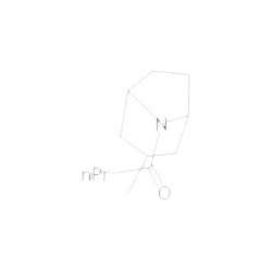 CCCC(=O)N1C2CCC1CC(C)C2